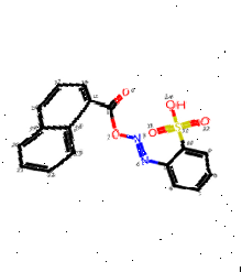 O=C(ON=Nc1ccccc1S(=O)(=O)O)c1cccc2ccccc12